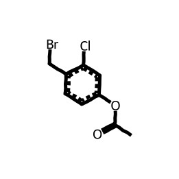 CC(=O)Oc1ccc(CBr)c(Cl)c1